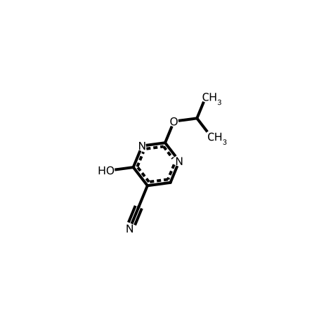 CC(C)Oc1ncc(C#N)c(O)n1